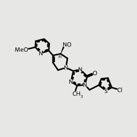 COc1cccc(C2=CCN(c3nc(C)n(Cc4ccc(Cl)s4)c(=O)n3)C[C@@H]2N=O)n1